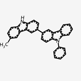 Cc1ccc2[nH]c3ccc(-c4ccc5c(c4)c4ccccc4n5-c4ccccc4)cc3c2c1